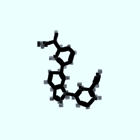 C[C@H](N)c1cccc(-c2ccc3cnn(-c4ccnc(C#N)n4)c3c2)n1